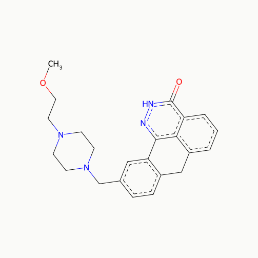 COCCN1CCN(Cc2ccc3c(c2)-c2n[nH]c(=O)c4cccc(c24)C3)CC1